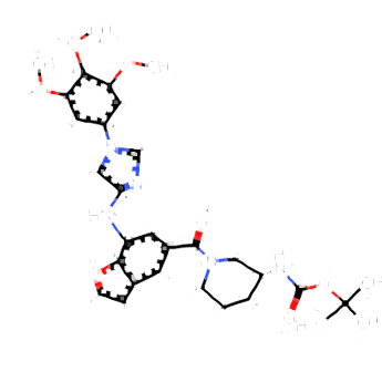 COc1cc(-n2cnc(Nc3cc(C(=O)N4CCC[C@@H](NC(=O)OC(C)(C)C)C4)cc4ccoc34)c2)cc(OC)c1OC